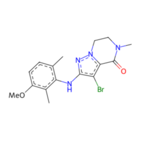 COc1ccc(C)c(Nc2nn3c(c2Br)C(=O)N(C)CC3)c1C